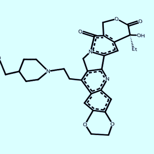 CC[C@@]1(O)C(=O)OCc2c1cc1n(c2=O)Cc2c-1nc1cc3c(cc1c2CCN1CCC(CO)CC1)OCCO3